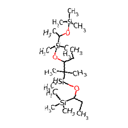 CCC(O[Si](C)(C)C(C)O[Si](C)(C)C)C(C)(C)[SiH](C)OC(CC)[Si](C)(C)C